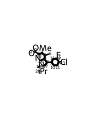 COC(=O)c1cc(C)c2c(-c3ccc(Cl)c(F)c3)cn(CC(C)C)c2n1